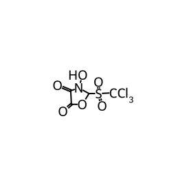 O=C1OC(S(=O)(=O)C(Cl)(Cl)Cl)N(O)C1=O